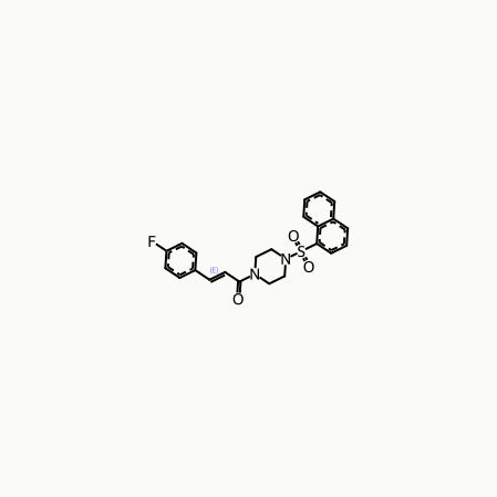 O=C(/C=C/c1ccc(F)cc1)N1CCN(S(=O)(=O)c2cccc3ccccc23)CC1